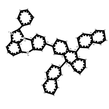 c1ccc(-c2nc3cccc4c3n2-c2ccc(-c3ccc5c(-c6ccc7ccccc7c6)c6ccccc6c(-c6ccc7ccccc7c6)c5c3)cc2O4)cc1